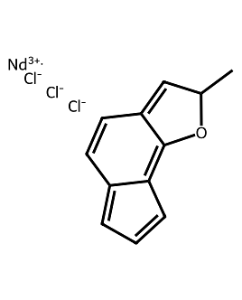 CC1C=c2ccc3c(c2O1)C=CC=3.[Cl-].[Cl-].[Cl-].[Nd+3]